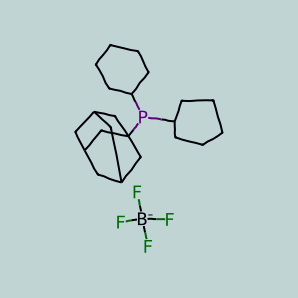 C1CCC(P(C2CCCCC2)C23CC4CC(CC(C4)C2)C3)CC1.F[B-](F)(F)F